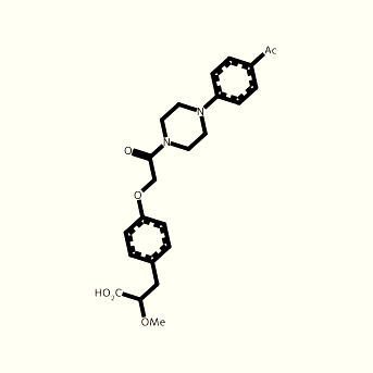 COC(Cc1ccc(OCC(=O)N2CCN(c3ccc(C(C)=O)cc3)CC2)cc1)C(=O)O